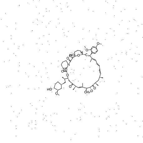 COc1ccc([C@@H]2C[C@@H]3CC[C@@H](C)[C@@](O)(O3)C(=O)C(=O)N3CCCC[C@H]3C(=O)O[C@H]([C@H](C)C[C@@H]3CC[C@@H](O)[C@H](OC)C3)CC(=O)[C@H](C)/C=C(\C)[C@H](O)[C@@H](OC)C(=O)[C@H](C)C[C@H](C)/C=C/C=C/C=C/2C)c(OC)c1